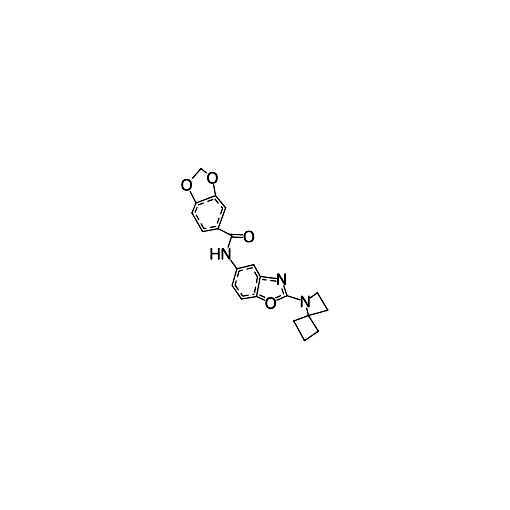 O=C(Nc1ccc2oc(N3CCC34CCC4)nc2c1)c1ccc2c(c1)OCO2